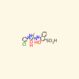 Cc1nn(-c2cccc(Cl)c2)c(O)c1N=Nc1c(O)cc(S(=O)(=O)O)c2ccccc12